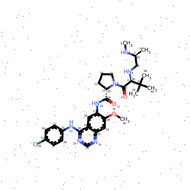 CN[C@@H](C)CN[C@H](C(=O)N1CCC[C@H]1C(=O)Nc1cc2c(Nc3ccc(Cl)cc3)ncnc2cc1OC)C(C)(C)C